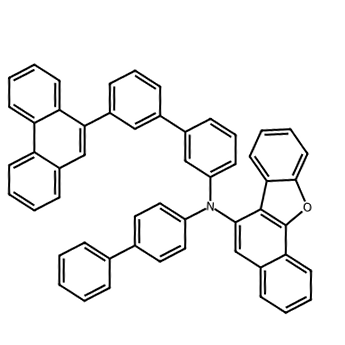 c1ccc(-c2ccc(N(c3cccc(-c4cccc(-c5cc6ccccc6c6ccccc56)c4)c3)c3cc4ccccc4c4oc5ccccc5c34)cc2)cc1